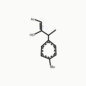 CC(=O)/C=C(\O)C(C)c1ccc(C(C)(C)C)cc1